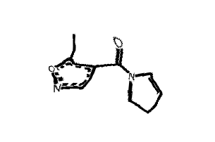 Cc1oncc1C(=O)N1C=CCC1